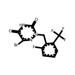 O=c1[nH]c(=O)n(Cc2c(F)cccc2C(F)(F)F)nc1Br